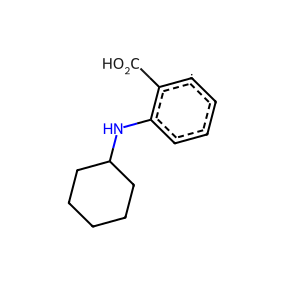 O=C(O)c1[c]cccc1NC1CCCCC1